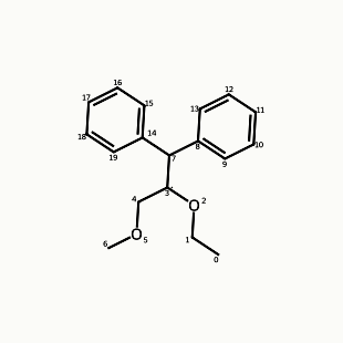 CCO[C](COC)C(c1ccccc1)c1ccccc1